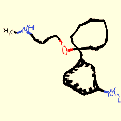 CNCCOC1(c2cccc(N)c2)CCCCC1